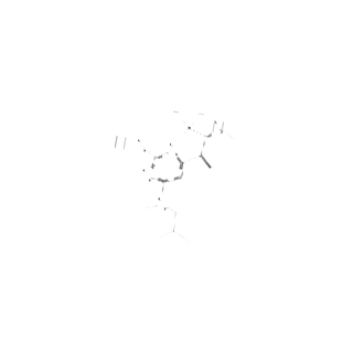 C=C(/C(=N\C)C(F)(F)F)c1cc(N(C)CC(C)C)nc(N)n1